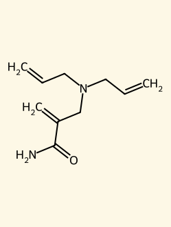 C=CCN(CC=C)CC(=C)C(N)=O